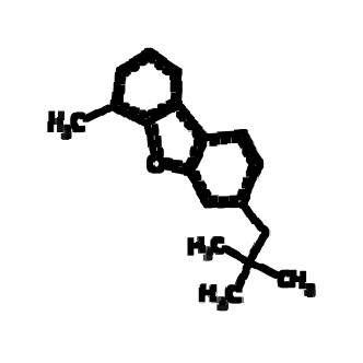 Cc1cccc2c1oc1cc(CC(C)(C)C)ccc12